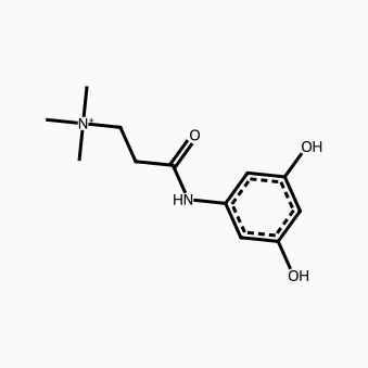 C[N+](C)(C)CCC(=O)Nc1cc(O)cc(O)c1